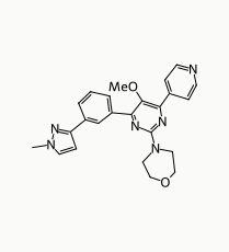 COc1c(-c2ccncc2)nc(N2CCOCC2)nc1-c1cccc(-c2ccn(C)n2)c1